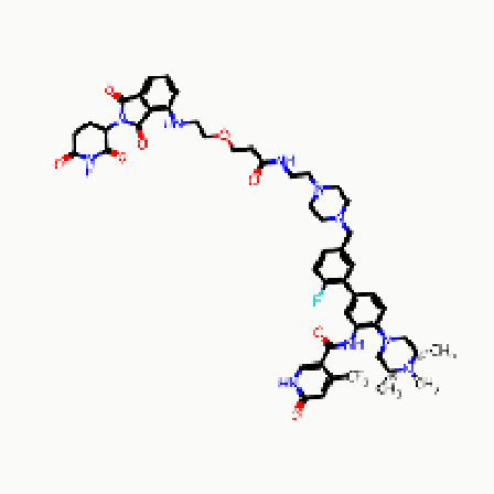 C[C@@H]1CN(c2ccc(-c3cc(CN4CCN(CCNC(=O)CCOCCNc5cccc6c5C(=O)N(C5CCC(=O)NC5=O)C6=O)CC4)ccc3F)cc2NC(=O)c2c[nH]c(=O)cc2C(F)(F)F)C[C@H](C)N1C